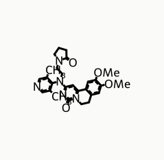 COc1cc2c(cc1OC)-c1cc(N(CCN3CCCC3=O)c3c(C)cncc3C)nc(=O)n1CC2